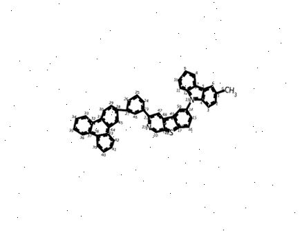 Cc1ccc2c(c1)c1ccccc1n2-c1ccc2sc3cnc(-c4cccc(-c5ccc6c7ccccc7c7ccccc7c6c5)c4)cc3c2c1